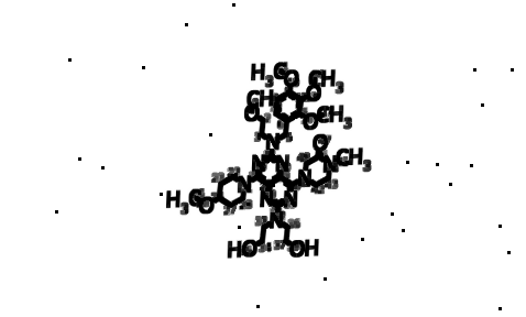 COCCN(Cc1ccc(OC)c(OC)c1OC)c1nc(N2CCC(OC)CC2)c2nc(N(CCO)CCO)nc(N3CCN(C)C(=O)C3)c2n1